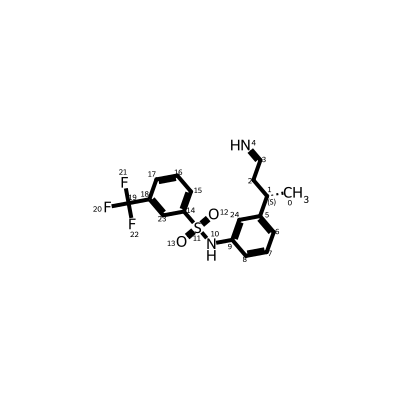 C[C@@H](CC=N)c1cccc(NS(=O)(=O)c2cccc(C(F)(F)F)c2)c1